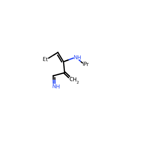 C=C(C=N)/C(=C\CC)NC(C)C